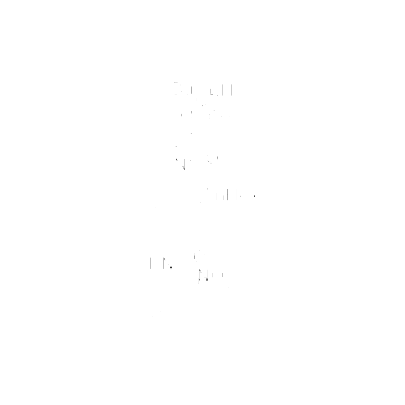 CCCCCCOC(=O)N(CCO[Si](C)(C)C(C)(C)C)Cc1ccc(C(=O)Nc2ccccc2[N+](=O)[O-])cc1